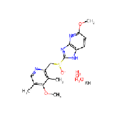 COc1ccc2[nH]c([S+]([O-])Cc3ncc(C)c(OC)c3C)nc2n1.O.O.[KH]